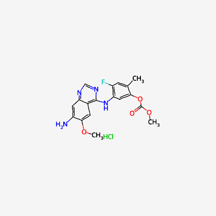 COC(=O)Oc1cc(Nc2ncnc3cc(N)c(OC)cc23)c(F)cc1C.Cl